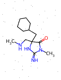 CNCC1(CC2CCCCC2)NC(=N)N(C)C1=O